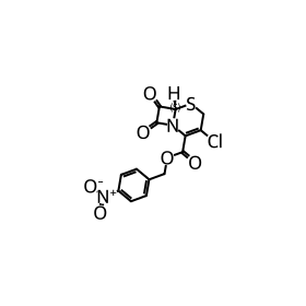 O=C(OCc1ccc([N+](=O)[O-])cc1)C1=C(Cl)CS[C@H]2C(=O)C(=O)N12